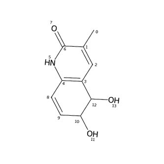 Cc1cc2c([nH]c1=O)C=CC(O)C2O